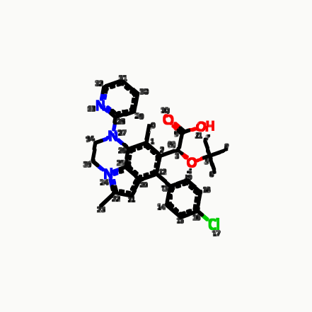 Cc1c([C@H](OC(C)(C)C)C(=O)O)c(-c2ccc(Cl)cc2)c2cc(C)n3c2c1N(c1ccccn1)CC3